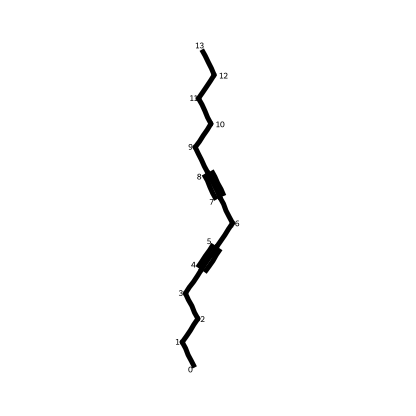 CCCCC#C[CH]C#CCCCCC